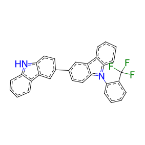 FC(F)(F)c1ccccc1-n1c2ccccc2c2cc(-c3ccc4[nH]c5ccccc5c4c3)ccc21